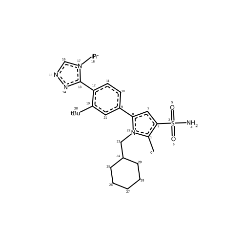 Cc1c(S(N)(=O)=O)cc(-c2ccc(-c3nncn3C(C)C)c(C(C)(C)C)c2)n1CC1CCCCC1